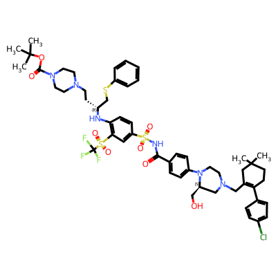 CC1(C)CCC(c2ccc(Cl)cc2)=C(CN2CCN(c3ccc(C(=O)NS(=O)(=O)c4ccc(N[C@H](CCN5CCN(C(=O)OC(C)(C)C)CC5)CSc5ccccc5)c(S(=O)(=O)C(F)(F)F)c4)cc3)[C@H](CO)C2)C1